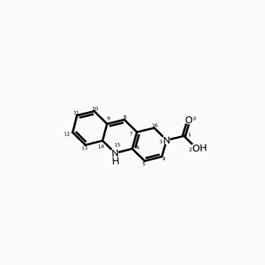 O=C(O)N1C=CC2=C(C=C3C=CC=CC3N2)C1